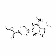 CCOC(=O)N1CCN(c2nc(NC)c3c(C(C)C)csc3n2)CC1